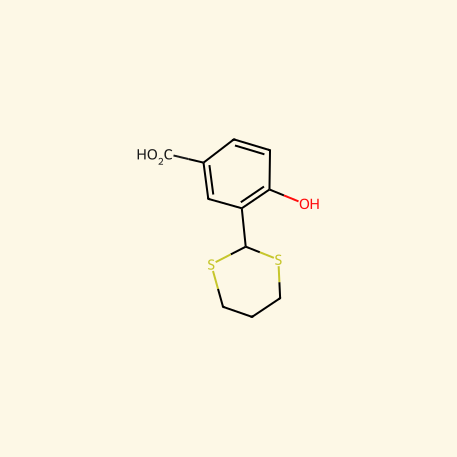 O=C(O)c1ccc(O)c(C2SCCCS2)c1